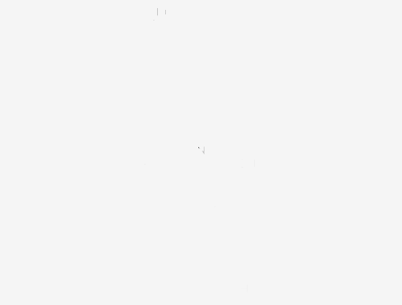 CCOC(=O)C1CC=C(c2nc(-c3cc(C)ccc3O)cs2)CC1